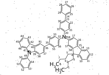 CCCCC1(CCCC)c2ccccc2-c2ccc(N(c3ccc(-c4ccccc4)cc3)c3ccc(-c4ccc5c(c4)c4ccccc4n5-c4ccccc4)cc3)cc21